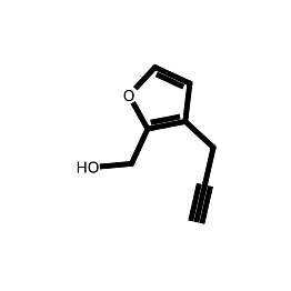 C#CCc1ccoc1CO